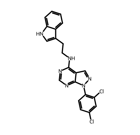 Clc1ccc(-n2ncc3c(NCCc4c[nH]c5ccccc45)ncnc32)c(Cl)c1